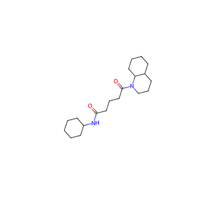 O=C(CCCC(=O)N1CCCC2CCCCC21)NC1CCCCC1